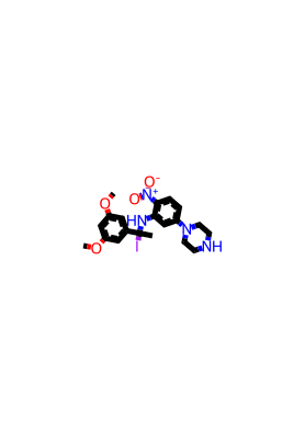 COc1cc(OC)cc(C(C)(I)Nc2cc(N3CCNCC3)ccc2[N+](=O)[O-])c1